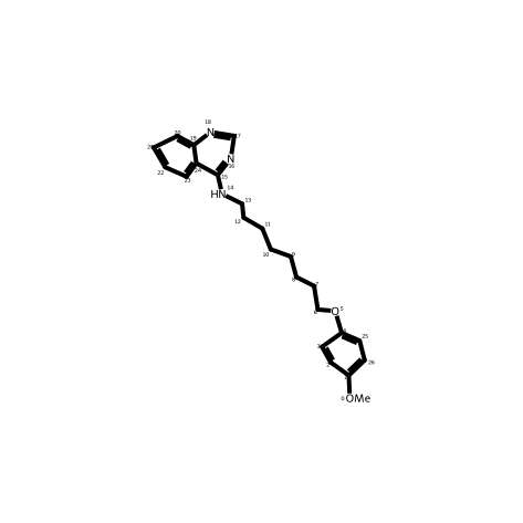 COc1ccc(OCCCCCCCCNc2ncnc3ccccc23)cc1